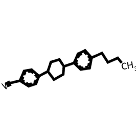 CCCCc1ccc(C2CCC(c3ccc(C#N)cc3)CC2)cc1